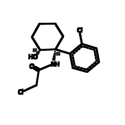 O=C(CCl)N[C@@]1(c2ccccc2Cl)CCCC[C@H]1O